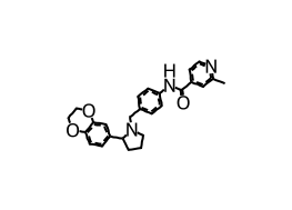 Cc1cc(C(=O)Nc2ccc(CN3CCCC3c3ccc4c(c3)OCCO4)cc2)ccn1